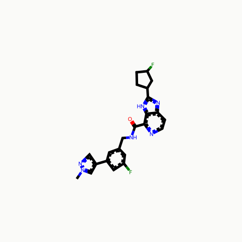 Cn1cc(-c2cc(F)cc(CNC(=O)c3nccc4nc(C5CCC(F)C5)[nH]c34)c2)cn1